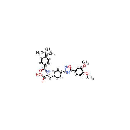 COc1ccc(-c2nc(-c3ccc(C[C@H](NC(=O)c4ccc(C(C)(C)C)cc4)C(=O)O)cc3)no2)cc1OC